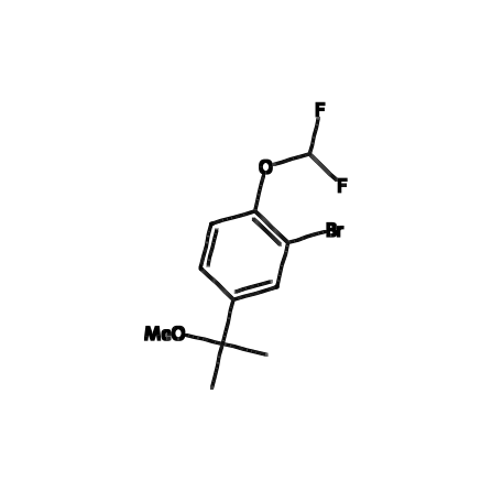 COC(C)(C)c1ccc(OC(F)F)c(Br)c1